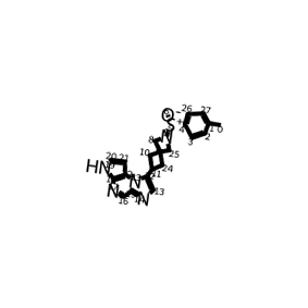 Cc1ccc([S+]([O-])N2CC3(CC(c4cnc5cnc6[nH]ccc6n45)C3)C2)cc1